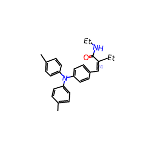 CCNC(=O)/C(=C\c1ccc(N(c2ccc(C)cc2)c2ccc(C)cc2)cc1)CC